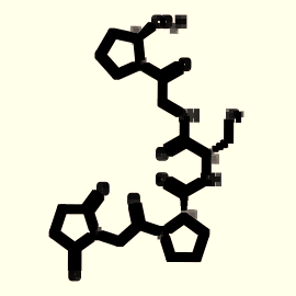 CC(C)C[C@H](NC(=O)[C@@H]1CCCN1C(=O)CN1C(=O)CCC1=O)C(=O)NCC(=O)N1CCC[C@H]1C(=O)O